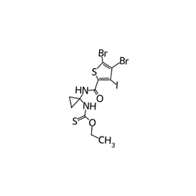 CCOC(=S)NC1(NC(=O)c2sc(Br)c(Br)c2I)CC1